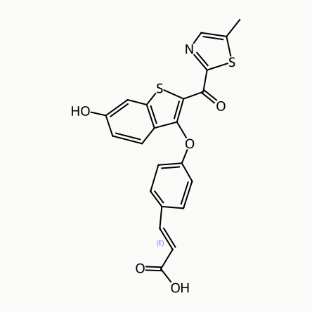 Cc1cnc(C(=O)c2sc3cc(O)ccc3c2Oc2ccc(/C=C/C(=O)O)cc2)s1